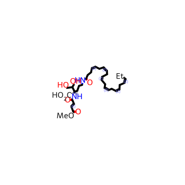 CC/C=C\C/C=C\C/C=C\C/C=C\C/C=C\C/C=C\CCC(=O)NCCC[C@](NC(=O)/C=C/C(=O)OC)(C(=O)O)C(CO)CO